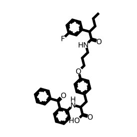 CCCC(C(=O)NCCCOc1ccc(CC(Nc2ccccc2C(=O)c2ccccc2)C(=O)O)cc1)c1cccc(F)c1